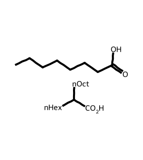 CCCCCCCC(=O)O.CCCCCCCCC(CCCCCC)C(=O)O